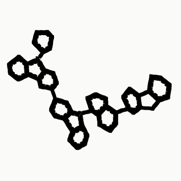 c1ccc(-n2c3ccccc3c3cc(-c4ccc5c6ccccc6n(-c6cccc7c(-c8ccc9c(c8)Cc8ccccc8-9)cccc67)c5c4)ccc32)cc1